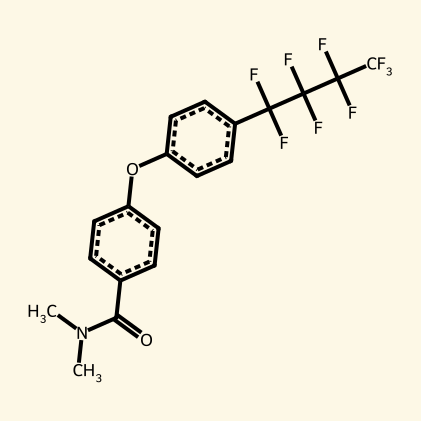 CN(C)C(=O)c1ccc(Oc2ccc(C(F)(F)C(F)(F)C(F)(F)C(F)(F)F)cc2)cc1